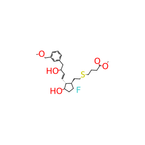 COCc1cccc(C[C@H](O)/C=C/[C@@H]2[C@@H](CCSCCCC(=O)OC)[C@H](F)C[C@H]2O)c1